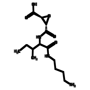 CCC(C)C(NC(=O)[C@H]1O[C@@H]1C(=O)O)C(=O)NCCCCN